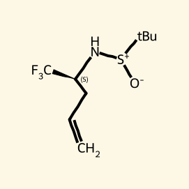 C=CC[C@H](N[S+]([O-])C(C)(C)C)C(F)(F)F